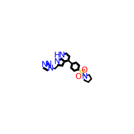 O=S(=O)(c1ccc(-c2ccnc3[nH]c(Cn4ccnn4)cc23)cc1)N1CCCC1